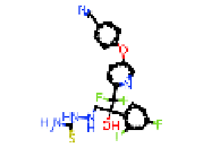 N#Cc1ccc(Oc2ccc(C(F)(F)[C@@](O)(CNNC(N)=S)c3ccc(F)cc3F)nc2)cc1